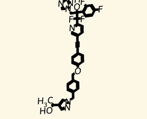 CC(O)c1cnn(Cc2ccc(COc3ccc(C#Cc4ccc(C(F)(F)C(O)(Cn5cnnn5)c5ccc(F)cc5F)nc4)cc3)cc2)c1